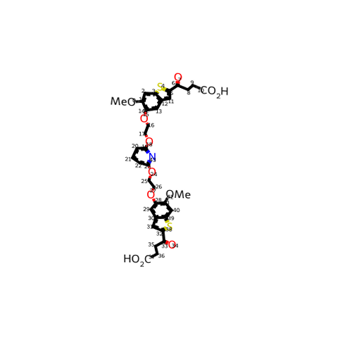 COc1cc2sc(C(=O)CCC(=O)O)cc2cc1OCCOc1cccc(OCCOc2cc3cc(C(=O)CCC(=O)O)sc3cc2OC)n1